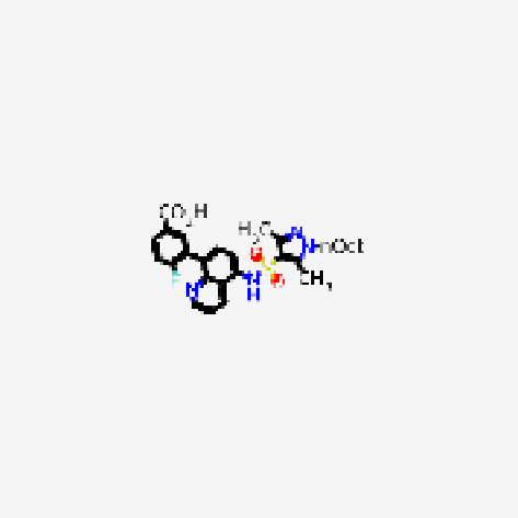 CCCCCCCCn1nc(C)c(S(=O)(=O)Nc2ccc(-c3cc(C(=O)O)ccc3F)c3ncccc23)c1C